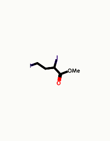 COC(=O)C(I)CCI